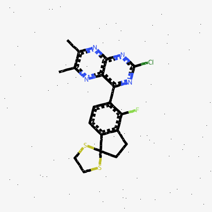 Cc1nc2nc(Cl)nc(-c3ccc4c(c3F)CCC43SCCS3)c2nc1C